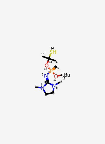 C=P(N=C1N(C)CCN1C)(OC(C)(C)C)OC(C)(C)S